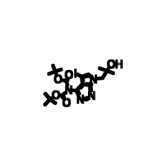 CC(C)(O)Cn1cc(I)c2c(N(C(=O)OC(C)(C)C)C(=O)OC(C)(C)C)ncnc21